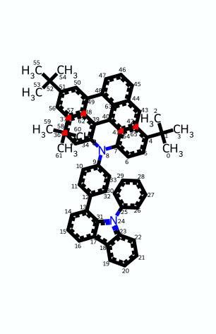 CC(C)(C)c1ccc(N(c2ccc(-c3cccc4c5ccccc5n(-c5ccccc5)c34)cc2)c2ccccc2-c2cccc3cccc(-c4cc(C(C)(C)C)cc(C(C)(C)C)c4)c23)cc1